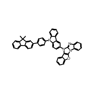 CC1(C)c2ccccc2-c2ccc(-c3ccc(-n4c5ccccc5c5cc(-n6c7c8ccccc8oc7n7c8ccccc8nc67)ccc54)cc3)cc21